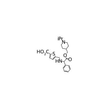 CC(C)N1CCC(COC(=O)C(NCc2ccc(C(=O)O)s2)c2ccccc2)CC1